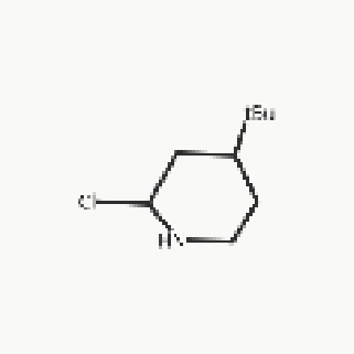 CC(C)(C)C1CCNC(Cl)C1